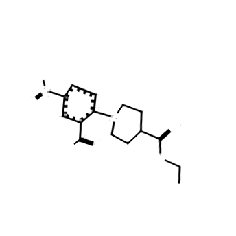 CCOC(=O)C1CCN(c2ccc([N+](=O)[O-])cc2C(=O)O)CC1